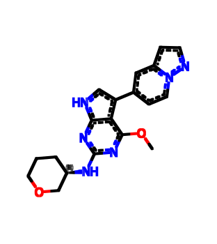 COc1nc(N[C@@H]2CCCOC2)nc2[nH]cc(-c3ccn4nccc4c3)c12